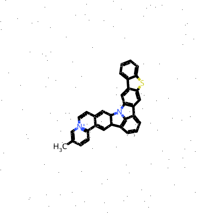 Cc1ccc2c3c(cc[n+]2c1)=CC1C(C=3)c2cccc3c4cc5sc6ccccc6c5cc4n1c23